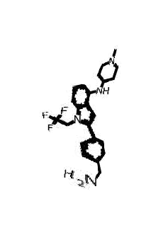 CN1CCC(Nc2cccc3c2cc(-c2ccc(CN)cc2)n3CC(F)(F)F)CC1